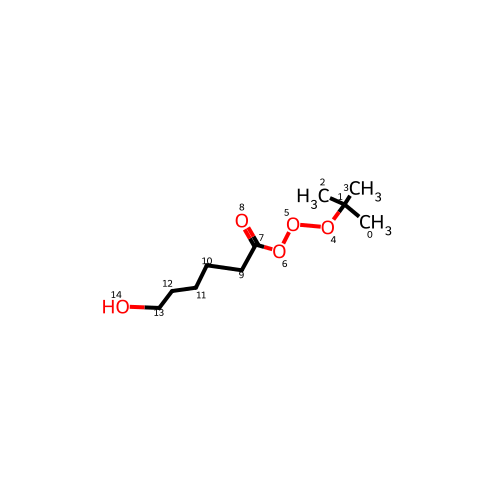 CC(C)(C)OOOC(=O)CCCCCO